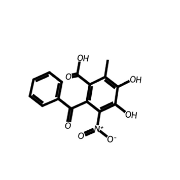 Cc1c(O)c(O)c([N+](=O)[O-])c(C(=O)c2ccccc2)c1C(=O)O